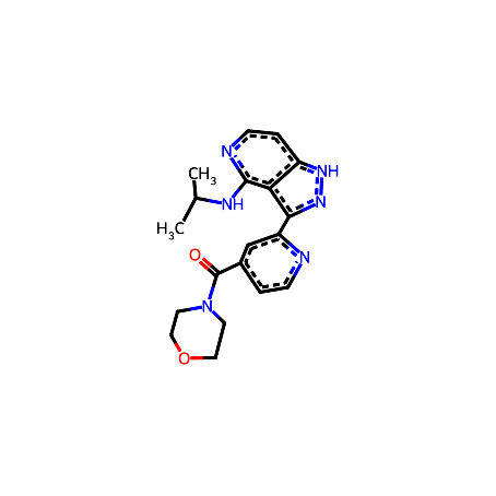 CC(C)Nc1nccc2[nH]nc(-c3cc(C(=O)N4CCOCC4)ccn3)c12